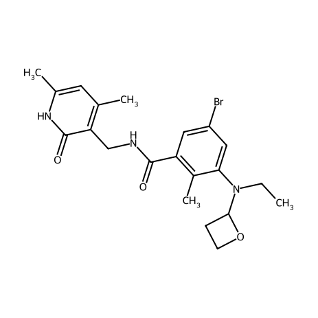 CCN(c1cc(Br)cc(C(=O)NCc2c(C)cc(C)[nH]c2=O)c1C)C1CCO1